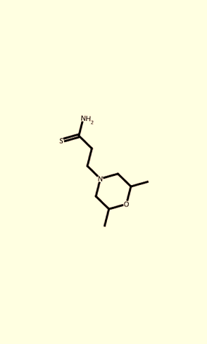 CC1CN(CCC(N)=S)CC(C)O1